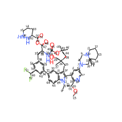 CCn1c(-c2cc(N3CCN4CCCC[C@@H]4C3)cnc2[C@H](C)OC)c(CC(C)(C)CO)c2cc(-c3cc(C[C@H](NC(=O)OC(C)(C)C)C(=O)OC(=O)C4CCCNN4)cc(C(F)F)c3)ccc21